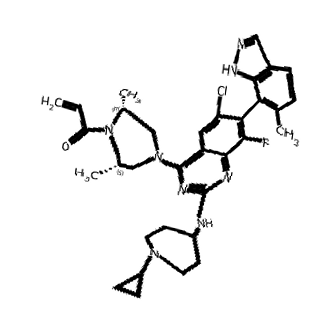 C=CC(=O)N1[C@H](C)CN(c2nc(NC3CCN(C4CC4)CC3)nc3c(F)c(-c4c(C)ccc5cn[nH]c45)c(Cl)cc23)C[C@@H]1C